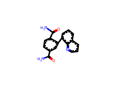 NC(=O)c1ccc(C(N)=O)c(-c2cccc3cccnc23)c1